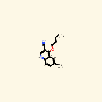 CCCCOc1c(C#N)cnc2ccc(C)cc12